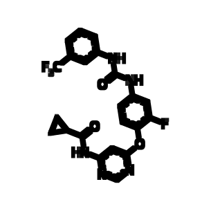 O=C(Nc1cccc(C(F)(F)F)c1)Nc1ccc(Oc2cc(NC(=O)C3CC3)ncn2)c(F)c1